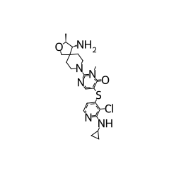 C[C@@H]1OCC2(CCN(c3ncc(Sc4ccnc(NC5CC5)c4Cl)c(=O)n3C)CC2)[C@@H]1N